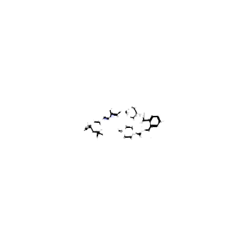 CC(/C=C/[C@@H]1C[C@]2(CO2)CC(C)(C)O1)=C\C[C@H]1OC[C@@H](NC(=O)c2ccccc2[C@H](C)OC(=O)N2CCN(C)CC2)CO1